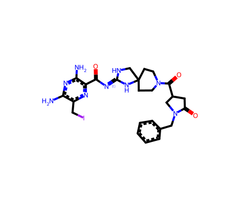 Nc1nc(N)c(C(=O)/N=C2\NCC3(CCN(C(=O)C4CC(=O)N(Cc5ccccc5)C4)CC3)N2)nc1CI